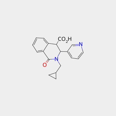 O=C(O)C1c2ccccc2C(=O)N(CC2CC2)C1c1cccnc1